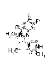 CCC[C@H](c1nc2cc(F)c(F)cc2c(=O)n1CC)N1CCN[C@@H](C)CC1